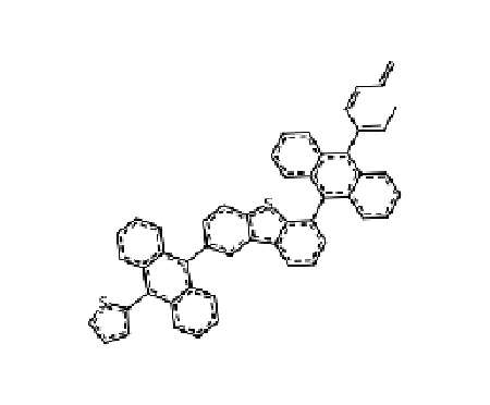 C=C/C=C\C(=C/C)c1c2ccccc2c(-c2cccc3c2sc2ccc(-c4c5ccccc5c(-c5cccs5)c5ccccc45)cc23)c2ccccc12